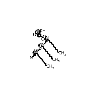 CCCCCCCCCCCc1nccn1CC#N.CCCCCCCCCCCc1nccn1CC#N.CCCCCCCCCCCc1nccn1CC#N.O=C(O)c1ccc(C(=O)O)c(C(=O)O)c1